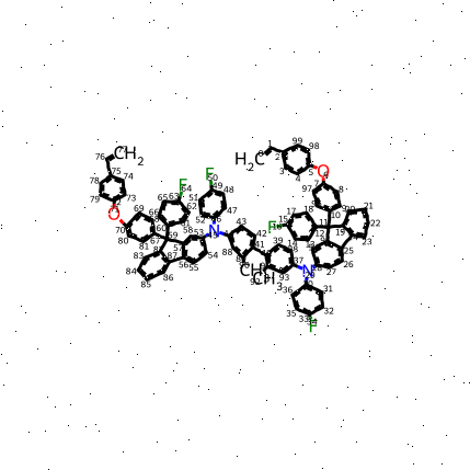 C=Cc1ccc(Oc2ccc(C3(c4ccc(F)cc4)c4ccccc4-c4ccc(N(c5ccc(F)cc5)c5ccc(-c6ccc(N(c7ccc(F)cc7)c7ccc8c(c7)C(c7ccc(F)cc7)(c7ccc(Oc9ccc(C=C)cc9)cc7)c7ccccc7-8)cc6C)c(C)c5)cc43)cc2)cc1